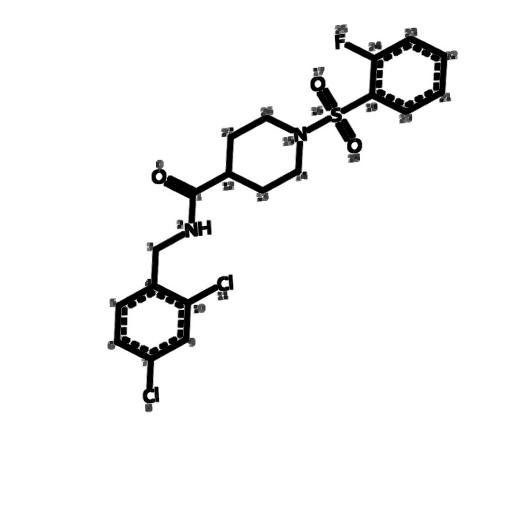 O=C(NCc1ccc(Cl)cc1Cl)C1CCN(S(=O)(=O)c2ccccc2F)CC1